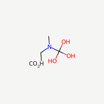 CN(CC(=O)O)C(O)(O)O